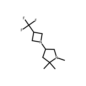 CN1CC(N2CC(C(F)(F)F)C2)CC1(C)C